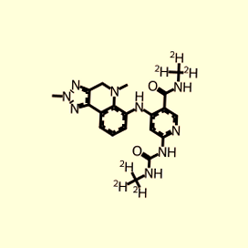 [2H]C([2H])([2H])NC(=O)Nc1cc(Nc2cccc3c2N(C)Cc2nn(C)nc2-3)c(C(=O)NC([2H])([2H])[2H])cn1